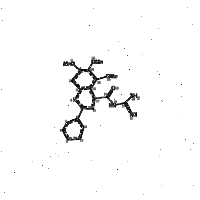 COc1cc2nc(-c3ccccc3)cc(C(=O)NC(=N)N)c2c(OC)c1OC